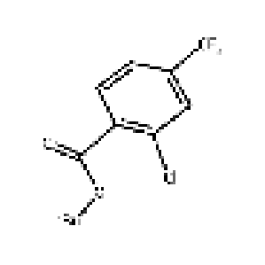 CCCCOC(=O)c1ccc(C(F)(F)F)cc1Cl